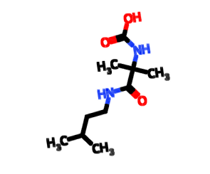 CC(C)CCNC(=O)C(C)(C)NC(=O)O